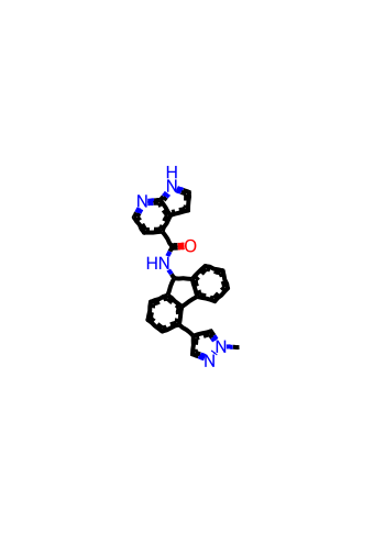 Cn1cc(-c2cccc3c2-c2ccccc2C3NC(=O)c2ccnc3[nH]ccc23)cn1